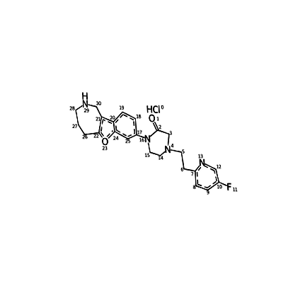 Cl.O=C1CN(CCc2ccc(F)cn2)CCN1c1ccc2c3c(oc2c1)CCCNC3